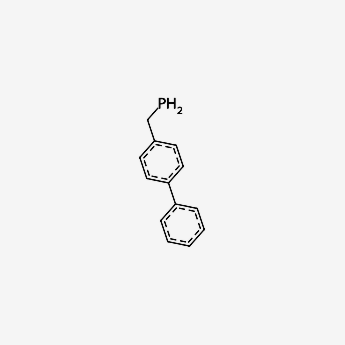 PCc1ccc(-c2ccccc2)cc1